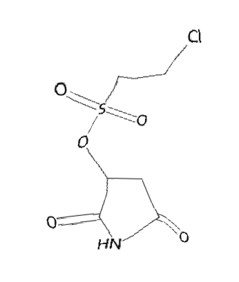 O=C1CC(OS(=O)(=O)CCCl)C(=O)N1